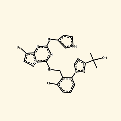 CC(C)c1cnn2c(NCc3c(Cl)cccc3-n3ccc(C(C)(C)O)n3)nc(Nc3cc[nH]c3)nc12